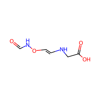 O=CNOC=CNCC(=O)O